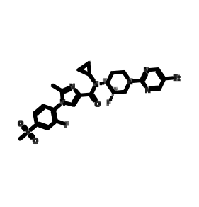 CCc1cnc(N2CC[C@@H](N(C(=O)c3cn(-c4ccc(S(C)(=O)=O)cc4F)c(C)n3)C3CC3)[C@@H](F)C2)nc1